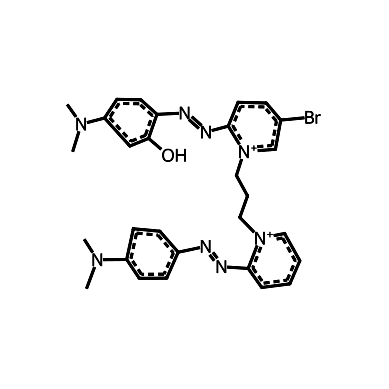 CN(C)c1ccc(/N=N/c2cccc[n+]2CCC[n+]2cc(Br)ccc2/N=N/c2ccc(N(C)C)cc2O)cc1